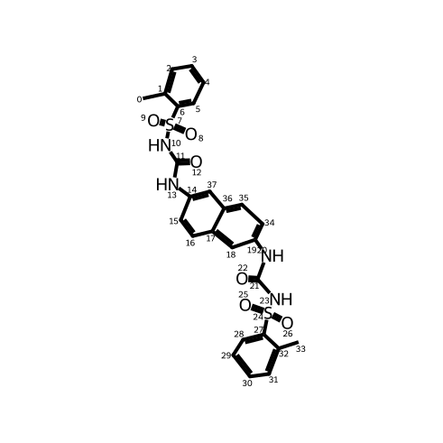 Cc1ccccc1S(=O)(=O)NC(=O)Nc1ccc2cc(NC(=O)NS(=O)(=O)c3ccccc3C)ccc2c1